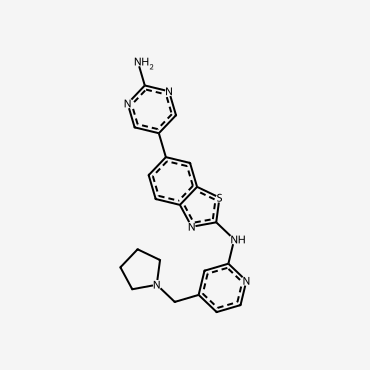 Nc1ncc(-c2ccc3nc(Nc4cc(CN5CCCC5)ccn4)sc3c2)cn1